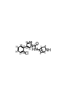 O=C(NC1CC2CC1CN2)n1cc(-c2ccccc2Cl)cn1